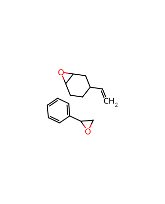 C=CC1CCC2OC2C1.c1ccc(C2CO2)cc1